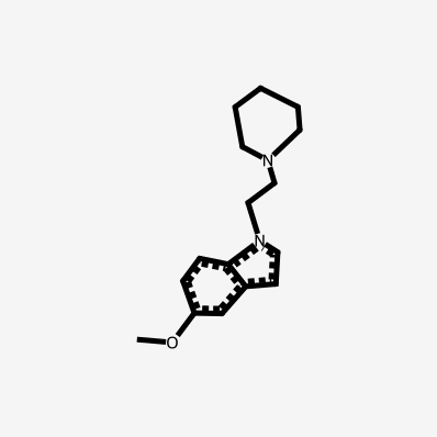 COc1ccc2c(ccn2CCN2CCCCC2)c1